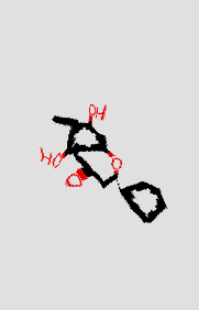 Cc1c(O)cc2c(c1O)C(=O)C[C@@H](c1ccccc1)O2